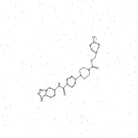 O=C(Nc1ccc2[nH]nnc2c1)c1ccc(N2CCN(C(=O)OCc3ccc(C(F)(F)F)cc3)CC2)nc1